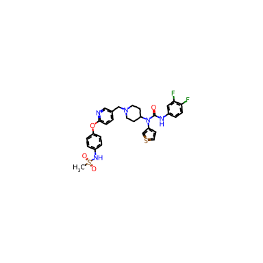 CS(=O)(=O)Nc1ccc(Oc2ccc(CN3CCC(N(C(=O)Nc4ccc(F)c(F)c4)c4ccsc4)CC3)cn2)cc1